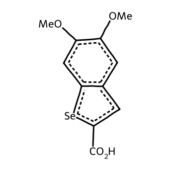 COc1cc2cc(C(=O)O)[se]c2cc1OC